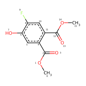 COC(=O)c1cc(O)c(F)cc1C(=O)OC